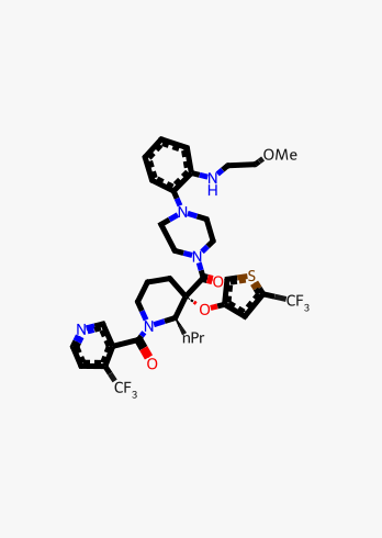 CCC[C@H]1N(C(=O)c2cnccc2C(F)(F)F)CCC[C@@]1(Oc1csc(C(F)(F)F)c1)C(=O)N1CCN(c2ccccc2NCCOC)CC1